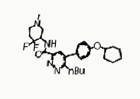 CCCCc1nnc(C(=O)NC2CN(C)CCC2(F)F)cc1-c1ccc(OC2CCCCC2)cc1